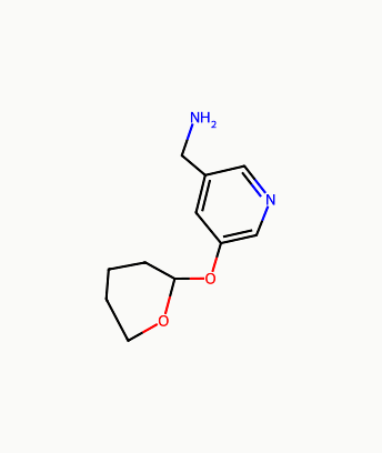 NCc1cncc(OC2CCCCO2)c1